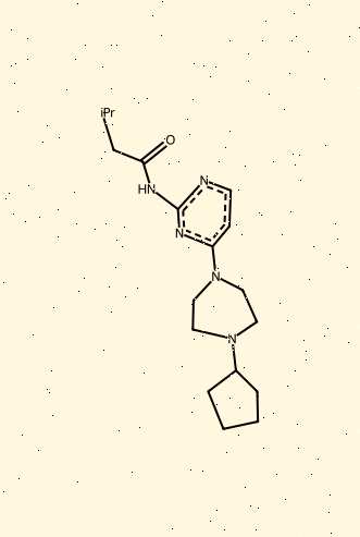 CC(C)CC(=O)Nc1nccc(N2CCN(C3CCCC3)CC2)n1